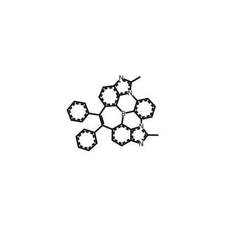 Cc1nc2ccc3c4c2n1-c1cccc2c1B4c1c(ccc4nc(C)n-2c14)C(c1ccccc1)=C3c1ccccc1